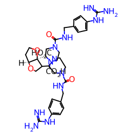 N=C(N)Nc1ccc(CNC(=O)N2CCN(C(=O)O)C(C3CO[C@H]4CCO[C@@]34C3CN(C(=O)NCc4ccc(NC(=N)N)cc4)CCN3C(=O)O)C2)cc1